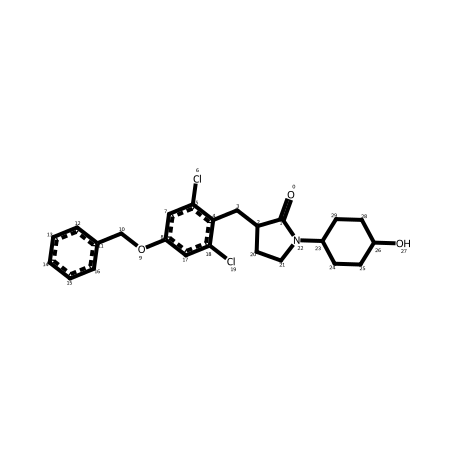 O=C1C(Cc2c(Cl)cc(OCc3ccccc3)cc2Cl)CCN1C1CCC(O)CC1